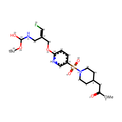 COC(=O)CC1CCN(S(=O)(=O)c2ccc(OC/C(=C/F)CNC(O)OC(C)(C)C)nc2)CC1